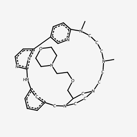 CN1CCCN(C)c2ccc(cn2)-c2ccnc(n2)Nc2cccc(c2)CN2CCN(CC1)CC2COCCN1CCOCC1